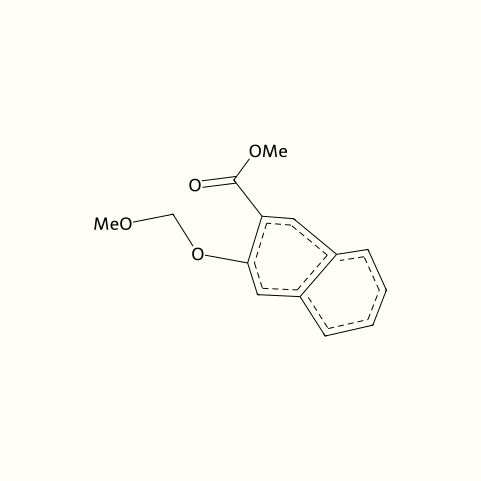 COCOc1cc2ccccc2cc1C(=O)OC